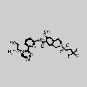 COc1cc2c(cc1C(=O)Nc1cccc(-c3nncn3[C@H](C)CO)n1)CN(S(=O)(=O)CCC(F)(F)F)CC2